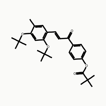 Cc1cc(C=CC(=O)c2ccc(OC(=O)C(C)(C)C)cc2)c(OC(C)(C)C)cc1OC(C)(C)C